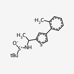 [CH2]c1ccccc1-c1csc(C(C)N[S+]([O-])C(C)(C)C)c1